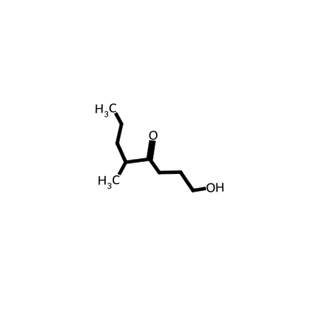 CCCC(C)C(=O)CCCO